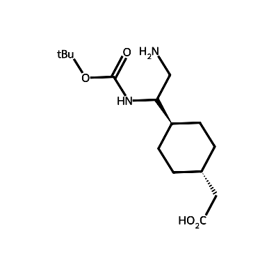 CC(C)(C)OC(=O)NC(CN)[C@H]1CC[C@H](CC(=O)O)CC1